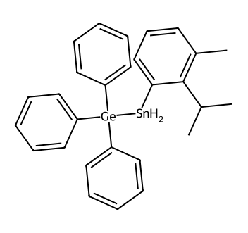 Cc1ccc[c]([SnH2][Ge]([c]2ccccc2)([c]2ccccc2)[c]2ccccc2)c1C(C)C